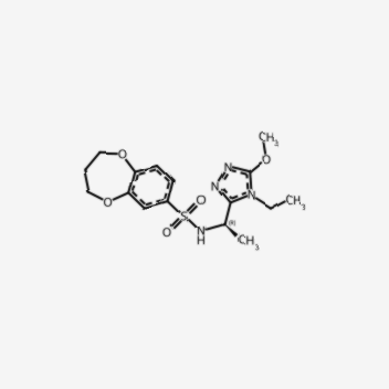 CCn1c(OC)nnc1[C@@H](C)NS(=O)(=O)c1ccc2c(c1)OCCCO2